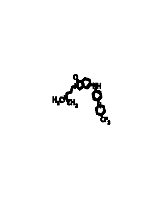 CN(C)CCCN1Cc2cc(Nc3ccc(N4CCC(C(F)(F)F)CC4)cc3)ccc2C1=O